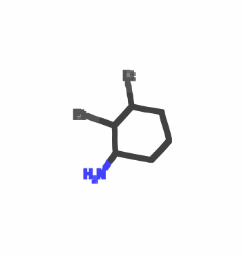 CCC1CCCC(N)C1CC